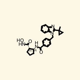 CC1(c2nc3ccccc3n2Cc2ccc(C(=O)N[C@@H]3CCC[C@@H]3C(=O)NO)cc2)CC1